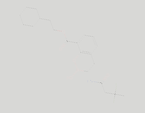 CC(F)(F)CC(=O)N[C@H]1Cc2cccc(C(=O)OCCC3CCCCC3)c2OB1O